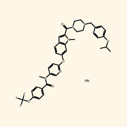 Br.CC(C)Oc1ccc(CN2CCN(C(=O)c3cc4ccc(Oc5ccc(N(C)C(=O)c6ccc(OC(F)(F)F)cc6)cn5)cc4n3C)CC2)cc1